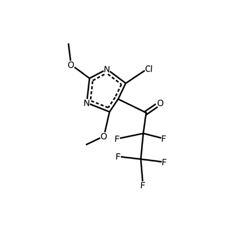 COc1nc(Cl)c(C(=O)C(F)(F)C(F)(F)F)c(OC)n1